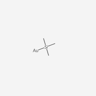 C[Si](C)(C)[Au]